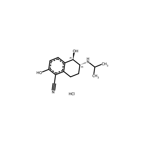 CC(C)N[C@@H]1CCc2c(ccc(O)c2C#N)[C@H]1O.Cl